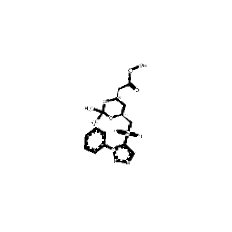 CC(C)(C)OC(=O)C[C@H]1C[C@@H](CS(=O)(=O)c2cnnn2-c2ccccc2)OC(C)(C)O1